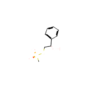 CS(=O)(=O)SC[C@H](O)c1ccccc1